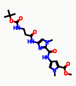 COC(=O)c1cc(NC(=O)c2nc(NC(=O)CCNC(=O)OC(C)(C)C)cn2C)cn1C